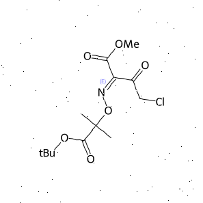 COC(=O)/C(=N/OC(C)(C)C(=O)OC(C)(C)C)C(=O)CCl